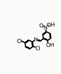 O=[N+](O)c1ccc(O)c(/C=N/c2cc(Cl)ccc2Cl)c1